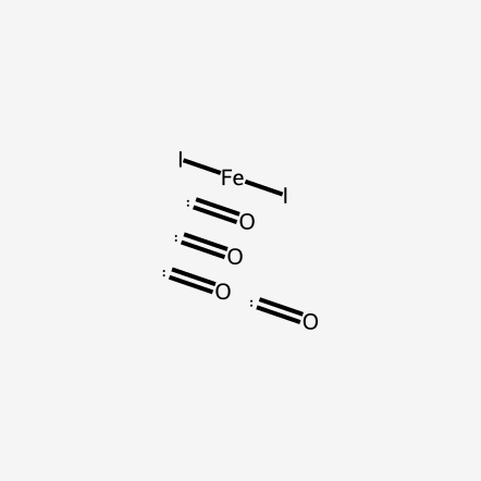 [C]=O.[C]=O.[C]=O.[C]=O.[I][Fe][I]